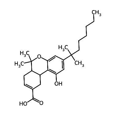 CCCCCCC(C)(C)c1cc(O)c2c(c1)OC(C)(C)C1CC=C(C(=O)O)CC21